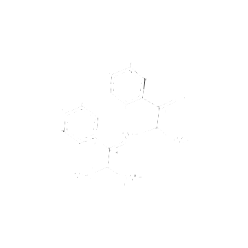 COC(OC)C(=O)c1ccccc1.COC(OC)C(=O)c1ccccc1